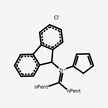 CCCCC[C](CCCCC)=[Zr+]([C]1=CC=CC1)[CH]1c2ccccc2-c2ccccc21.[Cl-]